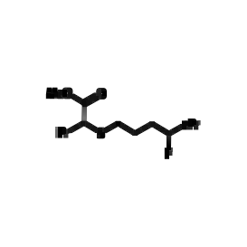 CCCC(F)CCCSC(C(=O)OC)C(C)C